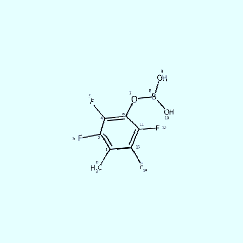 Cc1c(F)c(F)c(OB(O)O)c(F)c1F